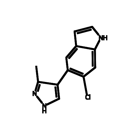 Cc1n[nH]cc1-c1cc2cc[nH]c2cc1Cl